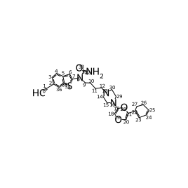 C#Cc1ccc2cc(N(CCCCN3CCN(C4=COC=C(C5=CC=CCC5)O4)CC3)C(N)=O)sc2c1